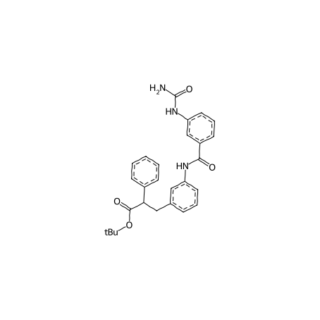 CC(C)(C)OC(=O)C(Cc1cccc(NC(=O)c2cccc(NC(N)=O)c2)c1)c1ccccc1